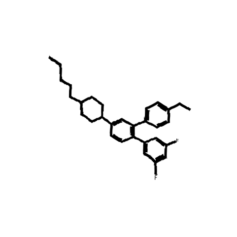 CCCCCC1CCC(c2ccc(-c3cc(F)cc(F)c3)c(-c3ccc(CC)cc3)c2)CC1